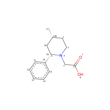 C[C@@H]1CCN(CC(=O)O)[C@H](c2ccccc2)C1